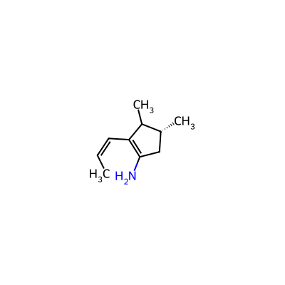 C/C=C\C1=C(N)C[C@@H](C)C1C